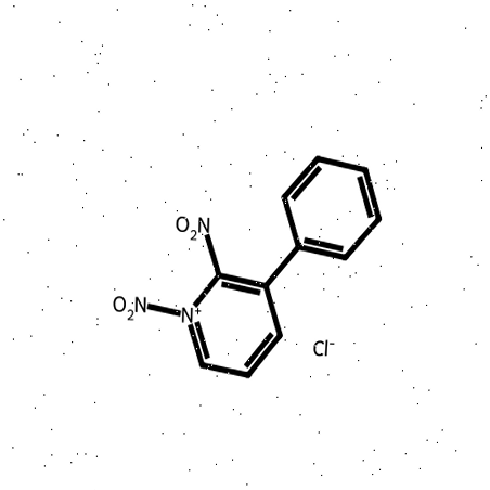 O=[N+]([O-])c1c(-c2ccccc2)ccc[n+]1[N+](=O)[O-].[Cl-]